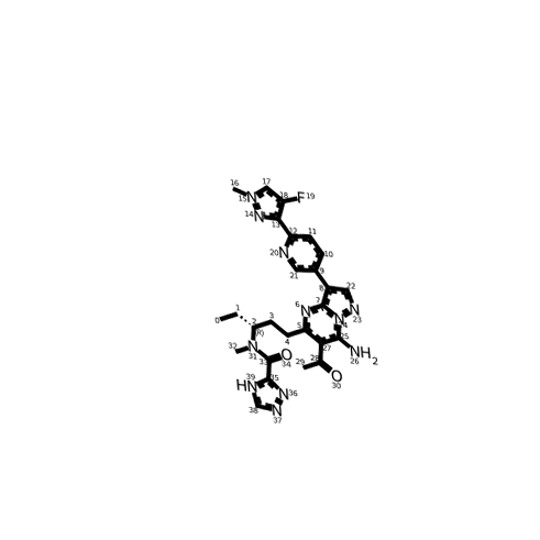 CC[C@H](CCc1nc2c(-c3ccc(-c4nn(C)cc4F)nc3)cnn2c(N)c1C(C)=O)N(C)C(=O)c1nnc[nH]1